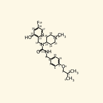 CC(C)COc1ccc(CNC(=O)N(Cc2ncc(F)cc2O)C2CCN(C)CC2)cc1